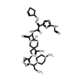 CCC(N1CCN(C)CC1)n1nnnc1SCC1(C(=O)O)CS[C@@H]2C(NC(=O)C(=NOC3C=CCC3)c3csc(NC=O)n3)C(=O)N2C1